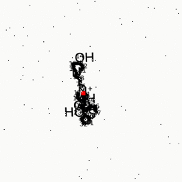 O=C(O[C@H]1C[N+]2(CCCCN3CCC(O)CC3)CCC1CC2)[C@](O)(c1cccs1)C1CCCC1